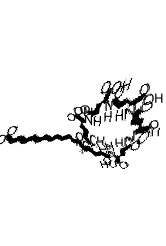 CC(C)(C)C(=O)CC[C@H](NC(=O)CC[C@H](NC(=O)CC[C@H](NC(=O)CC[C@H](NC(=O)CC[C@H](NC(=O)CCCCCCCCCCCCCCCCC(=O)O)C(=O)O)C(=O)O)C(=O)O)C(=O)O)C(=O)O